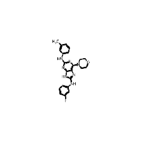 Cc1cccc(Nc2nc(N3CCOCC3)c3nc(Nc4cccc(F)c4)[nH]c3n2)c1